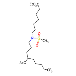 CCOC(=O)CCCCCCN(CCCC(CCCCC(F)(F)F)OC(C)=O)S(C)(=O)=O